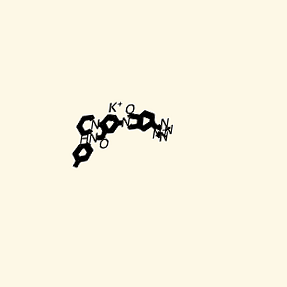 Cc1ccc(NC(=O)c2cc(N3Cc4cc(-c5nnn[n-]5)ccc4C3=O)ccc2N2CCCCC2)cc1.[K+]